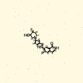 O=c1[nH]ccc2cc(F)c(NSc3ccc(N4CCC(F)C(O)C4)s3)cc12